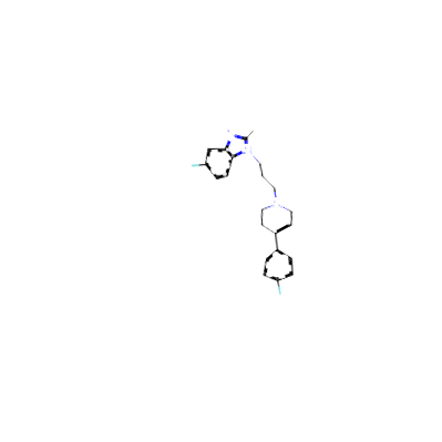 Fc1ccc(C2=CCN(CCCn3c(C(F)(F)F)nc4cc(F)ccc43)CC2)cc1